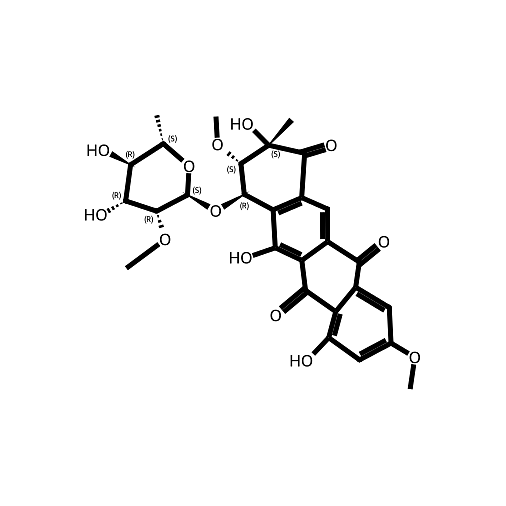 COc1cc(O)c2c(c1)C(=O)c1cc3c(c(O)c1C2=O)[C@@H](O[C@@H]1O[C@@H](C)[C@H](O)[C@@H](O)[C@H]1OC)[C@H](OC)[C@](C)(O)C3=O